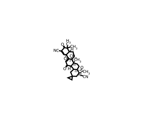 CC1(C)C(=O)C(C#N)=C[C@]2(C)C3=CC(=O)[C@@H]4C5CC6(CC6)CC[C@]5(S(C)(=O)=NC#N)CC[C@@]4(C)[C@]3(C)CC[C@@H]12